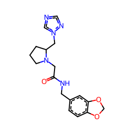 O=C(CN1CCCC1Cn1cncn1)NCc1ccc2c(c1)OCO2